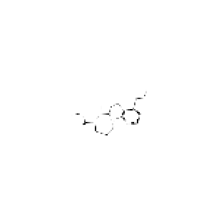 CC(C)(C)OC(=O)N1CCCN2c3nccc(CCC(F)(F)F)c3CC[C@@H]2C1